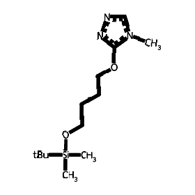 Cn1cnnc1OCCCCO[Si](C)(C)C(C)(C)C